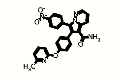 Cc1cccc(Oc2ccc(-c3c(C(N)=O)c4cccnn4c3-c3ccc([N+](=O)[O-])cc3)cc2)n1